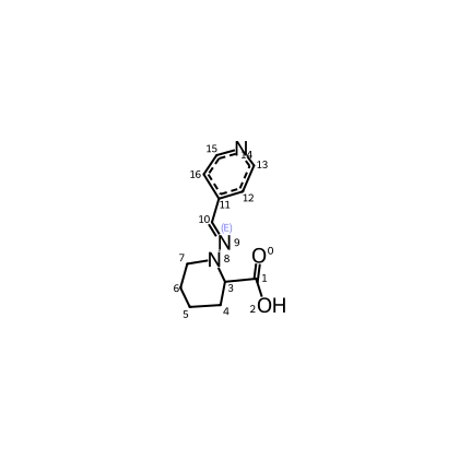 O=C(O)C1CCCCN1/N=C/c1ccncc1